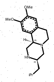 COc1cc2c(cc1OC)[C@@H]1CN[C@H](CC(C)C)CN1CC2